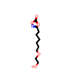 O=c1onc(CCCCCCOCCO)o1